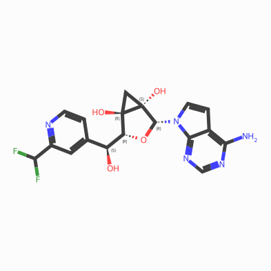 Nc1ncnc2c1ccn2[C@@H]1O[C@H]([C@@H](O)c2ccnc(C(F)F)c2)[C@]2(O)C[C@@]12O